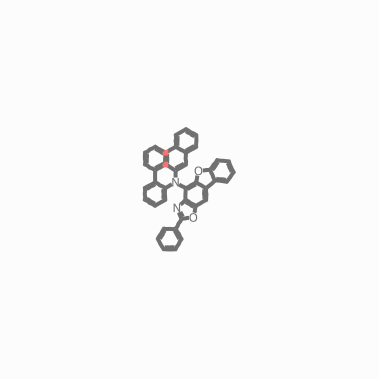 c1ccc(-c2nc3c(N(c4ccc5ccccc5c4)c4ccccc4-c4ccccc4)c4oc5ccccc5c4cc3o2)cc1